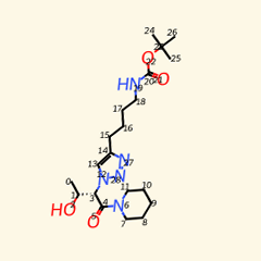 CC(O)[C@@H](C(=O)N1CCCCC1)n1cc(CCCCNC(=O)OC(C)(C)C)nn1